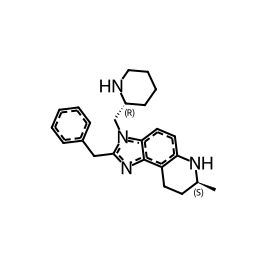 C[C@H]1CCc2c(ccc3c2nc(Cc2ccccc2)n3C[C@H]2CCCCN2)N1